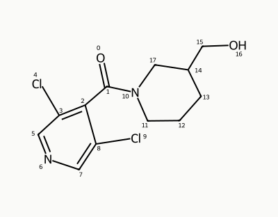 O=C(c1c(Cl)cncc1Cl)N1CCCC(CO)C1